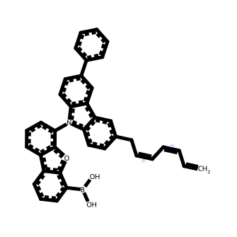 C=C/C=C\C=C/Cc1ccc2c(c1)c1cc(-c3ccccc3)ccc1n2-c1cccc2c1oc1c(B(O)O)cccc12